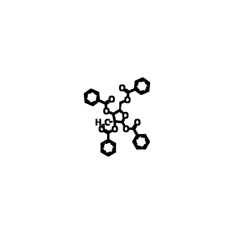 C[C@]1(OC(=O)c2ccccc2)C(OC(=O)c2ccccc2)[C@@H](COC(=O)c2ccccc2)O[C@H]1OC(=O)c1ccccc1